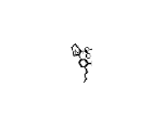 CCCCc1ccc([C@H]2CC3CCC(N3)C2C(=O)OC)cc1I